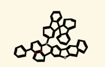 c1ccc(-c2ccc(N(c3ccc4c(c3)C3(c5ccccc5-c5ccccc53)c3ccccc3-4)c3cc4c(cc3-c3ccccc3)oc3cc5ccccc5cc34)cc2)cc1